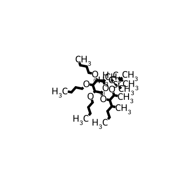 CCCCOC1C(OCCCC)[C@H](OCCCC)C(C)O[C@H]1OC(C(C)CCC)C(C)O[Si](C)(C)C(C)(C)C